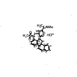 CN[C@@H](C)C(=O)N[C@H]1CN(S(C)(=O)=O)c2ccccc2N(Cc2c(C)ccc3ccccc23)C1=O.Cl